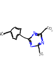 N#Cc1ccc(-c2nc(C(Cl)(Cl)Cl)nc(C(Cl)(Cl)Cl)n2)cc1